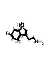 Cl.NCCc1c[nH]c2cc(F)cc(F)c12